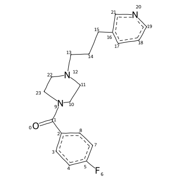 O=C(c1ccc(F)cc1)N1CCN(CCCc2cccnc2)CC1